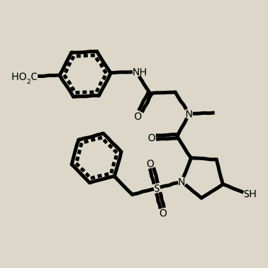 CN(CC(=O)Nc1ccc(C(=O)O)cc1)C(=O)C1CC(S)CN1S(=O)(=O)Cc1ccccc1